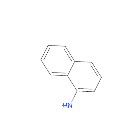 [NH]c1cccc2ccccc12